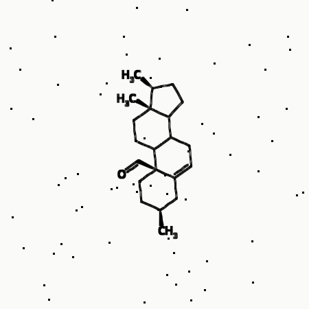 C[C@H]1CC[C@@]2(C=O)C(=CCC3C2CC[C@@]2(C)C3CC[C@@H]2C)C1